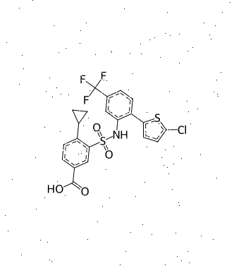 O=C(O)c1ccc(C2CC2)c(S(=O)(=O)Nc2cc(C(F)(F)F)ccc2-c2ccc(Cl)s2)c1